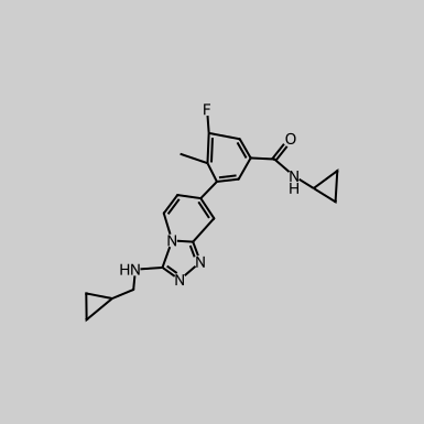 Cc1c(F)cc(C(=O)NC2CC2)cc1-c1ccn2c(NCC3CC3)nnc2c1